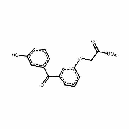 COC(=O)COc1cccc(C(=O)c2cccc(O)c2)c1